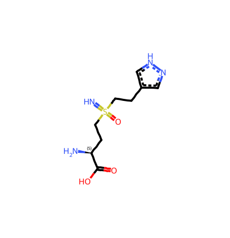 N=S(=O)(CCc1cn[nH]c1)CC[C@H](N)C(=O)O